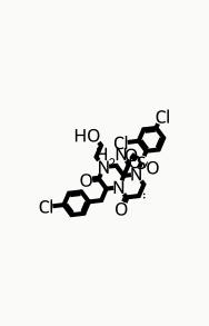 NC(=O)C12CN(CCO)C(=O)C(Cc3ccc(Cl)cc3)N1C(=O)[C]CN2S(=O)(=O)c1ccc(Cl)cc1Cl